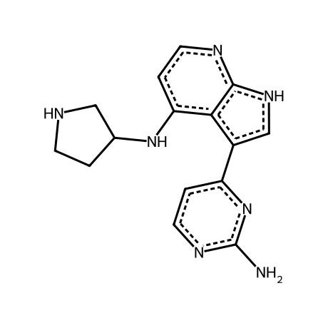 Nc1nccc(-c2c[nH]c3nccc(NC4CCNC4)c23)n1